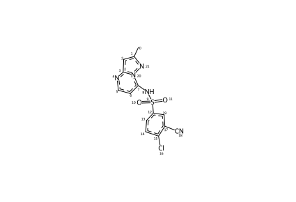 Cc1cc2nccc(NS(=O)(=O)c3ccc(Cl)c(C#N)c3)n2n1